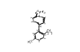 Cc1ccc(-c2nc(C)ncc2C)nc1